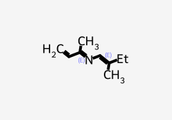 C=C/C(C)=N/C=C(\C)CC